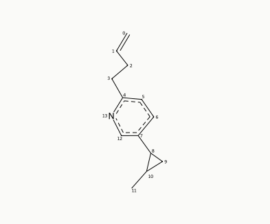 C=CCCc1ccc(C2CC2C)cn1